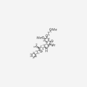 COCCCOc1cc(C(=O)N(C(C)C)[C@@H]2CC[C@H](CCN(C(=O)CCc3ccccc3)C3CC3)NC2)ccc1OC